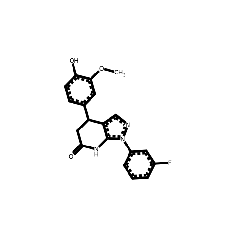 COc1cc(C2CC(=O)Nc3c2cnn3-c2cccc(F)c2)ccc1O